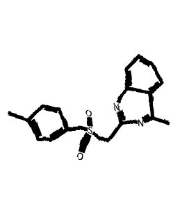 Cc1ccc(S(=O)(=O)Cc2nc(C)c3ccccc3n2)cc1